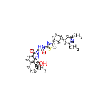 Cc1cc(-c2cccc(-c3csc(NC(=O)CNC(=O)c4ccc5c(c4)[C@@](C)(CO)CCC5)n3)c2)cc(C)n1